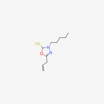 C=CCC1=NN(CCCCC)C(S)O1